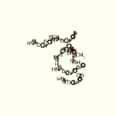 Brc1ccc(CN2CCC(OCc3c[nH]cn3)CC2)cc1.CCOC1(CN2CCC(OCc3c[nH]cn3)CC2)C=CC=C(CN2CCC(OCc3c[nH]cn3)CC2)C1(O)S(=O)(=O)c1ccc(C)cc1.Fc1cc(C(F)(F)F)ccc1CN1CCC(OCc2c[nH]cn2)CC1.c1ccc(COc2ccc(CN3CCC(OCc4c[nH]cn4)CC3)cc2)cc1.c1nc(COC2CCN(Cc3ccc4c(c3)OCO4)CC2)c[nH]1